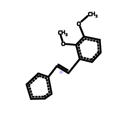 COc1cccc(/C=C/c2ccccc2)c1OC